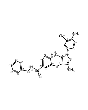 Cc1nn(-c2ccc(N)c(Cl)c2)c(C)c1Cc1cccc(C(=O)NCc2ccccc2)c1